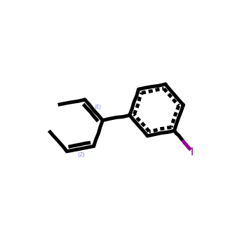 C/C=C\C(=C/C)c1cccc(I)c1